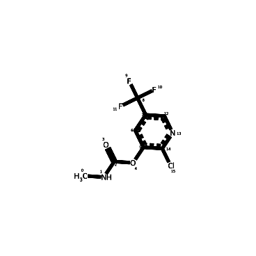 CNC(=O)Oc1cc(C(F)(F)F)cnc1Cl